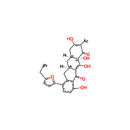 CC(=O)C1=C(O)C[C@@H]2C[C@@H]3Cc4c(-c5ccc(CC(C)C)o5)ccc(O)c4C(=O)C3=C(O)[C@]2(O)C1=O